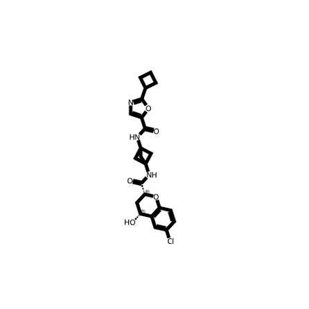 O=C(NC12CC(NC(=O)[C@H]3C[C@@H](O)c4cc(Cl)ccc4O3)(C1)C2)c1cnc(C2CCC2)o1